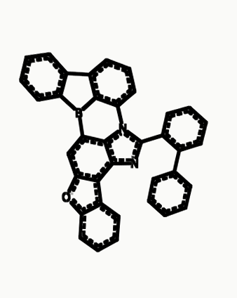 c1ccc(-c2ccccc2-c2nc3c4c(cc5c3n2-c2cccc3c2B5c2ccccc2-3)oc2ccccc24)cc1